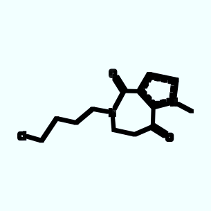 Cn1ccc2c1C(=O)CCN(CCCCCl)C2=O